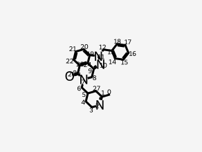 CC1=NCCC(CN2Cc3nn(Cc4ccccc4)c4cccc(c34)C2=O)C1